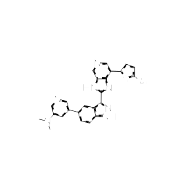 CC(=O)c1ccc(-c2cncc3[nH]c(-c4n[nH]c5ccc(-c6cncc(N(C)C)c6)cc45)nc23)s1